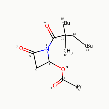 CC(C)C(=O)OC1CC(=O)N1C(=O)C(C)(CC(C)(C)C)C(C)(C)C